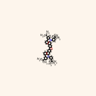 CC(C)c1ccc(N(c2cccc(C(C)(C)C)c2)c2ccc3cc4c(cc3c2)oc2cc3cc(N(c5cccc(C(C)(C)C)c5)c5ccc(C(C)C)cc5-c5ccccc5)ccc3cc24)c(-c2ccccc2)c1